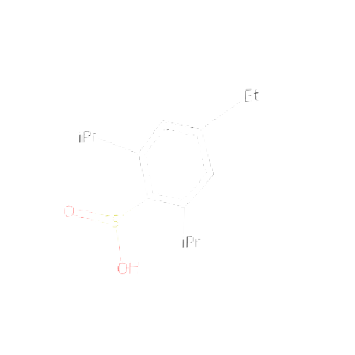 CCc1cc(C(C)C)c(S(=O)O)c(C(C)C)c1